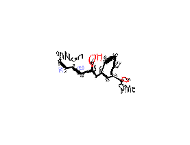 CCCCCCCCC/C=C\C=C\C(O)Cc1cccc(C(=O)OC)c1